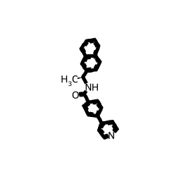 C[C@@H](NC(=O)c1ccc(-c2ccncc2)cc1)c1ccc2ccccc2c1